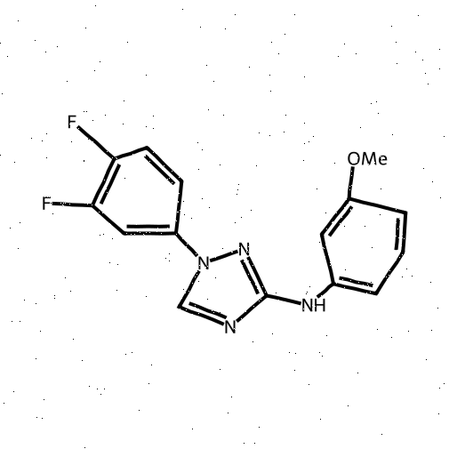 COc1cccc(Nc2ncn(-c3ccc(F)c(F)c3)n2)c1